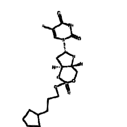 O=c1[nH]c(=O)n([C@H]2C[C@@H]3OP(=O)(OCCCC4CCCC4)OC[C@H]3O2)cc1F